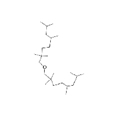 CC(C)CC(C)CCC(C)(C)COCC(C)(C)CCC(C)CC(C)C